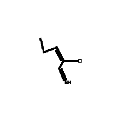 CC/C=C(/Cl)C=N